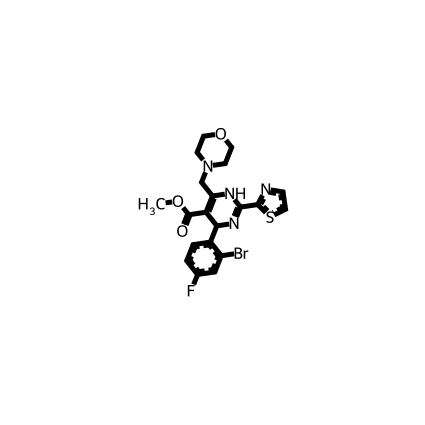 COC(=O)C1=C(CN2CCOCC2)NC(c2nccs2)=NC1c1ccc(F)cc1Br